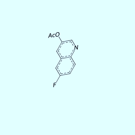 CC(=O)Oc1cnc2ccc(F)cc2c1